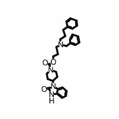 O=C(OCCCN(CCCc1ccccc1)Cc1ccccc1)N1CCC(n2c(=O)[nH]c3ccccc32)CC1